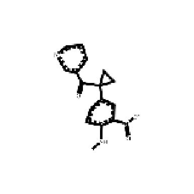 CNc1ccc(C2(C(=O)c3cccnc3)CC2)cc1[N+](=O)[O-]